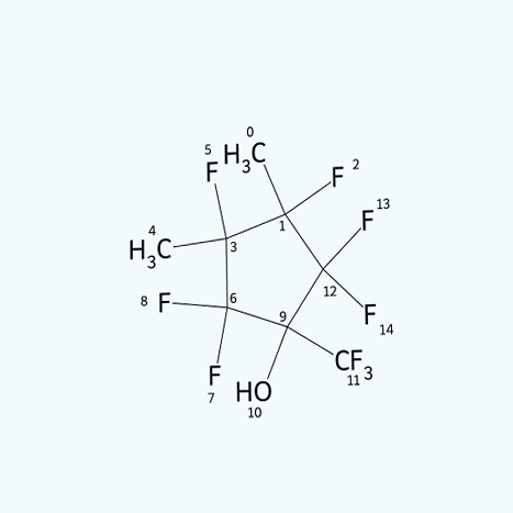 CC1(F)C(C)(F)C(F)(F)C(O)(C(F)(F)F)C1(F)F